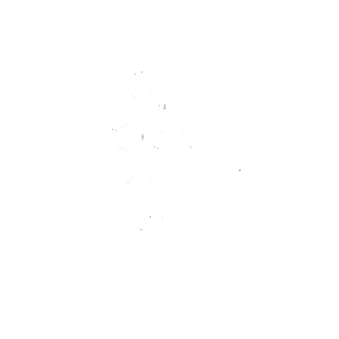 CN(C)C(=O)c1cccc(Cn2c(C(=O)NOCCO)c(Nc3ccc(I)cc3F)c3cnccc32)c1